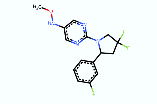 CONc1cnc(N2CC(F)(F)CC2c2cccc(F)c2)nc1